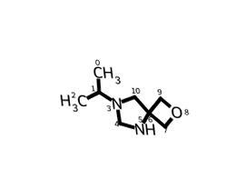 CC(C)N1CNC2(COC2)C1